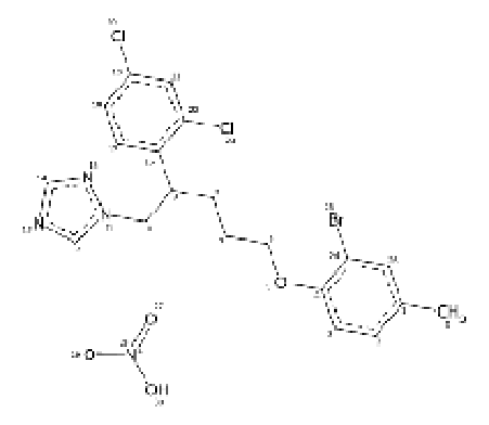 Cc1ccc(OCCCC(Cn2cncn2)c2ccc(Cl)cc2Cl)c(Br)c1.O=[N+]([O-])O